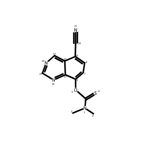 CN(C)C(=S)Oc1ccc(C#N)c2cncnc12